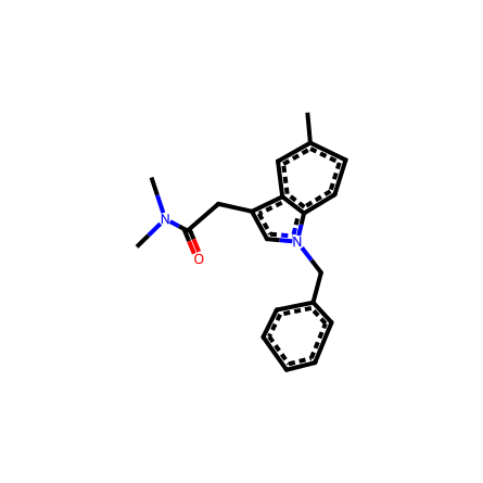 Cc1ccc2c(c1)c(CC(=O)N(C)C)cn2Cc1ccccc1